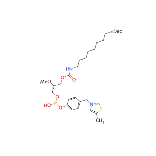 CCCCCCCCCCCCCCCCCCNC(=O)OCC(COP(O)Oc1ccc(C[n+]2csc(C)c2)cc1)OC